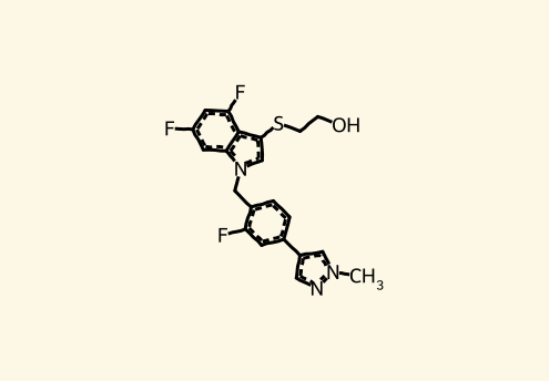 Cn1cc(-c2ccc(Cn3cc(SCCO)c4c(F)cc(F)cc43)c(F)c2)cn1